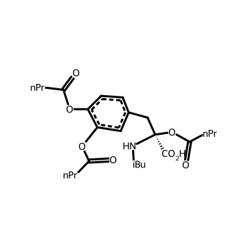 CCCC(=O)Oc1ccc(C[C@](NC(C)CC)(OC(=O)CCC)C(=O)O)cc1OC(=O)CCC